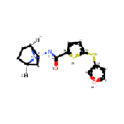 O=C(N[C@@H]1C[C@H]2CC[C@@H]1N2)c1ccc(Sc2ccoc2)s1